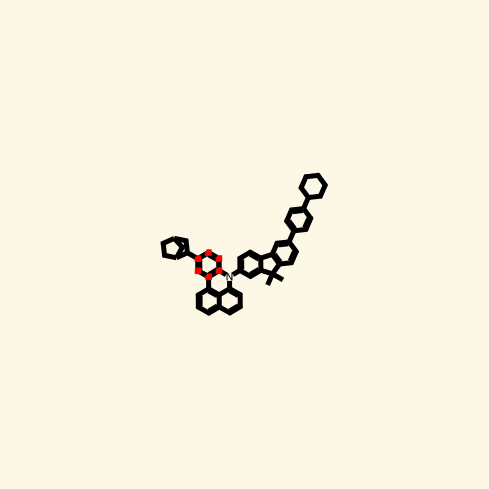 CC1(C)c2ccc(-c3ccc(C4CCCCC4)cc3)cc2-c2ccc(N(c3ccc(C4CC5CCC4C5)cc3)c3cccc4cccc(C5CCCCC5)c34)cc21